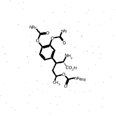 CCCCCC(=O)OC(C)CC(c1ccc(OC(=O)CCC)c(OC(=O)CCC)c1)[C@H](N)C(=O)O